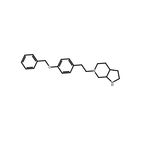 c1ccc(COc2ccc(CCN3CCC4CCNC4C3)cc2)cc1